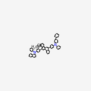 C[Si]1(C)c2cc(N(c3ccccc3)c3cccc4ccccc34)ccc2-c2cc3c4ccccc4c(-c4ccc(N(c5ccccc5)c5ccc(-c6ccccc6)cc5)cc4)cc3c3cccc1c23